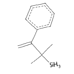 C=C(c1ccccc1)C(C)(C)[SiH3]